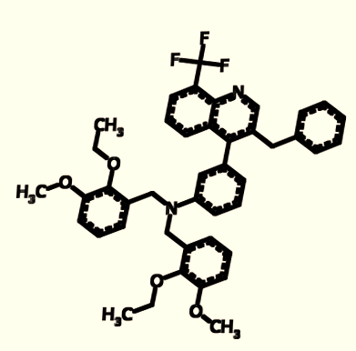 CCOc1c(CN(Cc2cccc(OC)c2OCC)c2cccc(-c3c(Cc4ccccc4)cnc4c(C(F)(F)F)cccc34)c2)cccc1OC